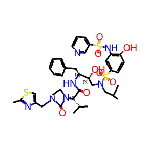 Cc1nc(CN2CCN([C@H](C(=O)N[C@@H](Cc3ccccc3)[C@@H](O)CN(CC(C)C)S(=O)(=O)c3ccc(O)c(NS(=O)(=O)c4cccnc4)c3)C(C)C)C2=O)cs1